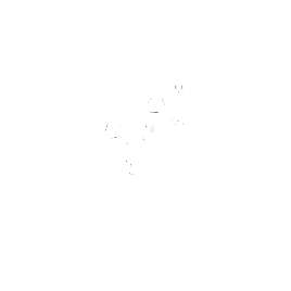 COc1ccc(CNC(=O)OC2(c3ccccc3)CCN(C(=O)CCC3CCCC3)CC2)c(OC)c1